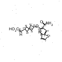 NC(=O)c1cc2sccc2nc1OC1CC2(CC(NC(=O)O)C2)C1